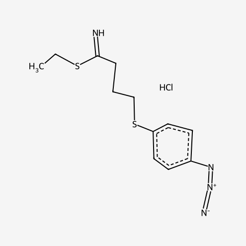 CCSC(=N)CCCSc1ccc(N=[N+]=[N-])cc1.Cl